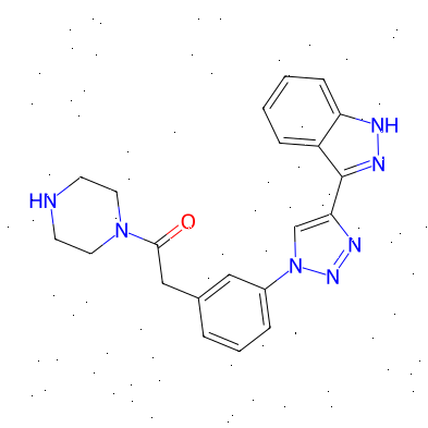 O=C(Cc1cccc(-n2cc(-c3n[nH]c4ccccc34)nn2)c1)N1CCNCC1